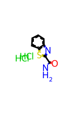 Cl.Cl.NC(=O)c1nc2ccccc2s1